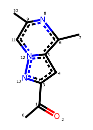 CC(=O)c1cc2c(C)nc(C)cn2n1